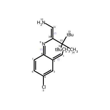 C/C=C1/C=C(Cl)C=C/C1=N/C(=C\N)C(C)(C(C)(C)C)C(C)(C)C